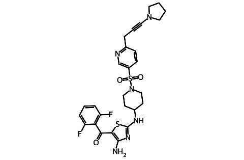 Nc1nc(NC2CCN(S(=O)(=O)c3ccc(CC#CN4CCCC4)nc3)CC2)sc1C(=O)c1c(F)cccc1F